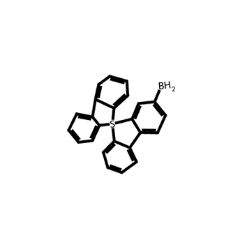 Bc1ccc2c(c1)S1(c3ccccc3-c3ccccc31)c1ccccc1-2